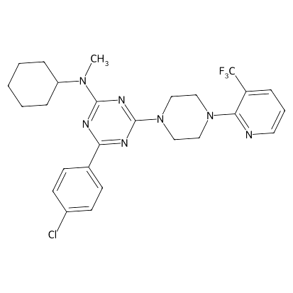 CN(c1nc(-c2ccc(Cl)cc2)nc(N2CCN(c3ncccc3C(F)(F)F)CC2)n1)C1CCCCC1